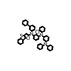 Clc1c(N(c2ccccc2)c2cccc(N(c3ccccc3)c3ccccc3)c2)cccc1N(c1cccc(-c2ccccc2)c1)c1cc2sc3ccccc3c2o1